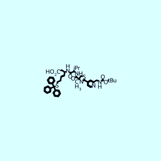 CC(C)C(NC(=O)[C@]1(C)CSC(c2ccnc(CNC(=O)OC(C)(C)C)c2)=N1)C(=O)NC(C=CCCSC(c1ccccc1)(c1ccccc1)c1ccccc1)CC(=O)O